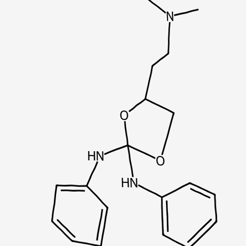 CN(C)CCC1COC(Nc2ccccc2)(Nc2ccccc2)O1